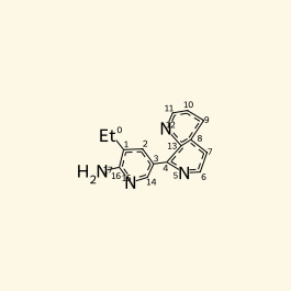 CCc1cc(-c2nccc3cccnc23)cnc1N